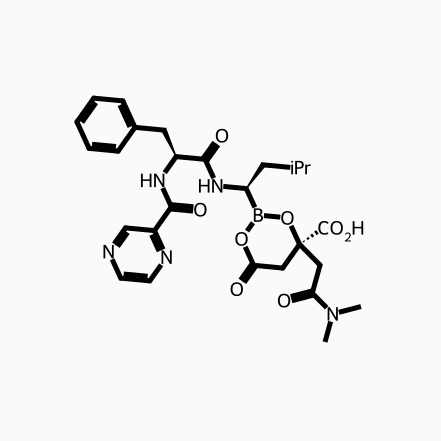 CC(C)C[C@H](NC(=O)[C@H](Cc1ccccc1)NC(=O)c1cnccn1)B1OC(=O)C[C@@](CC(=O)N(C)C)(C(=O)O)O1